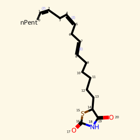 CCCCC/C=C\C/C=C\C/C=C/CCCCCC1SC(=O)NC1=O